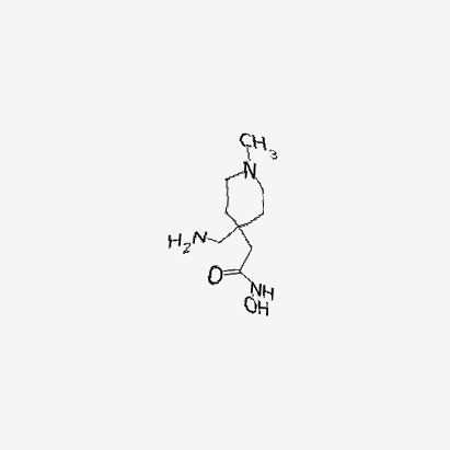 CN1CCC(CN)(CC(=O)NO)CC1